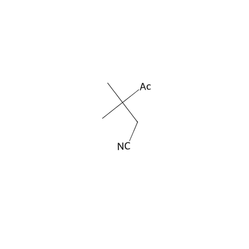 CC(=O)C(C)(C)CC#N